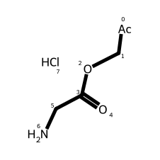 CC(=O)COC(=O)CN.Cl